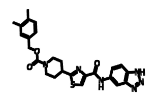 Cc1ccc(COC(=O)N2CCC(c3nc(C(=O)Nc4ccc5[nH]nnc5c4)cs3)CC2)cc1C